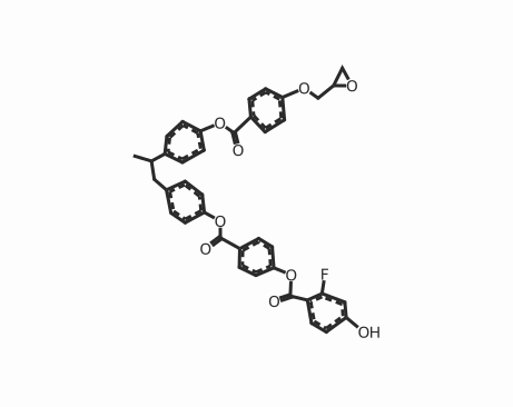 CC(Cc1ccc(OC(=O)c2ccc(OC(=O)c3ccc(O)cc3F)cc2)cc1)c1ccc(OC(=O)c2ccc(OCC3CO3)cc2)cc1